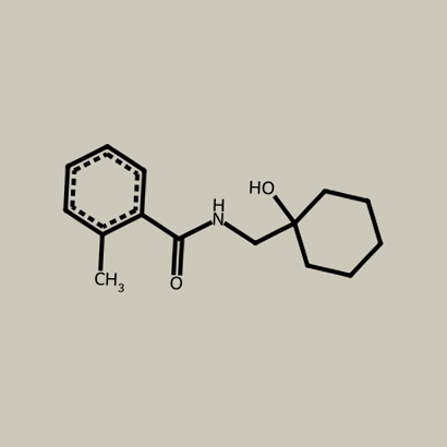 Cc1ccccc1C(=O)NCC1(O)CCCCC1